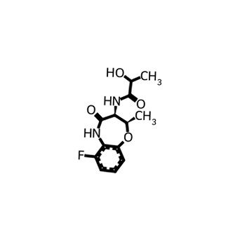 CC(O)C(=O)N[C@@H]1C(=O)Nc2c(F)cccc2O[C@@H]1C